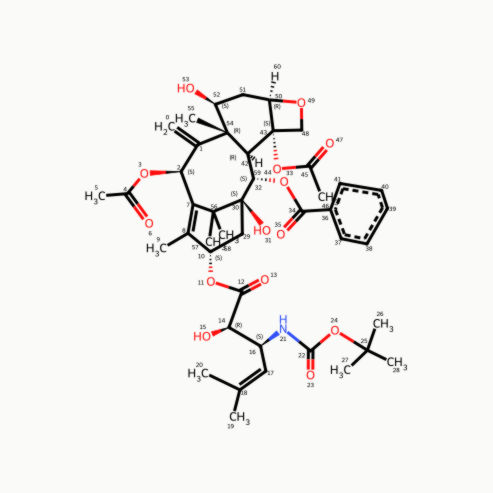 C=C1[C@H](OC(C)=O)C2=C(C)[C@@H](OC(=O)[C@H](O)[C@H](C=C(C)C)NC(=O)OC(C)(C)C)C[C@@](O)([C@@H](OC(=O)c3ccccc3)[C@@H]3[C@]4(OC(C)=O)CO[C@@H]4C[C@H](O)[C@@]13C)C2(C)C